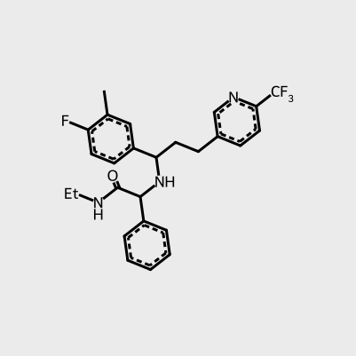 CCNC(=O)C(NC(CCc1ccc(C(F)(F)F)nc1)c1ccc(F)c(C)c1)c1ccccc1